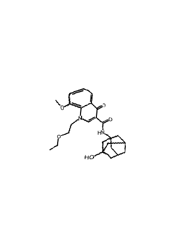 CCOCCn1cc(C(=O)NC23CC4CC(CC(O)(C4)C2)C3)c(=O)c2cccc(OC)c21